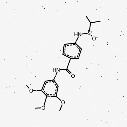 COc1cc(NC(=O)c2ccc(N[S+]([O-])C(C)C)cc2)cc(OC)c1OC